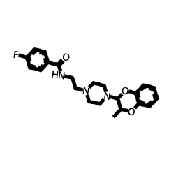 CC1Oc2ccccc2OC1N1CCN(CCNC(=O)c2ccc(F)cc2)CC1